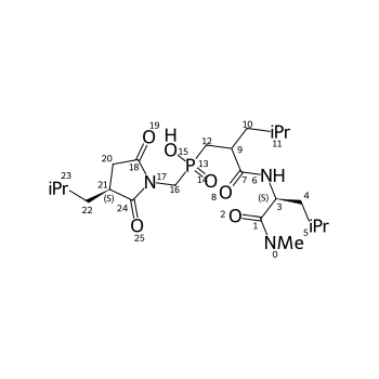 CNC(=O)[C@H](CC(C)C)NC(=O)C(CC(C)C)CP(=O)(O)CN1C(=O)C[C@H](CC(C)C)C1=O